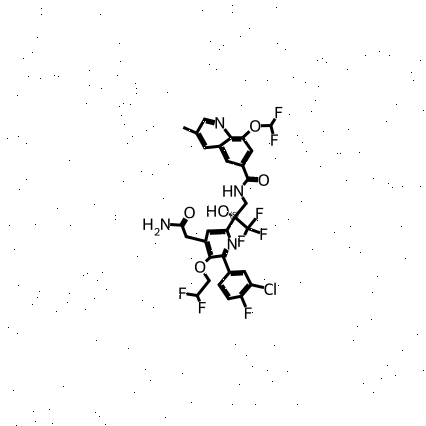 Cc1cnc2c(OC(F)F)cc(C(=O)NC[C@](O)(c3cc(CC(N)=O)c(OCC(F)F)c(-c4ccc(F)c(Cl)c4)n3)C(F)(F)F)cc2c1